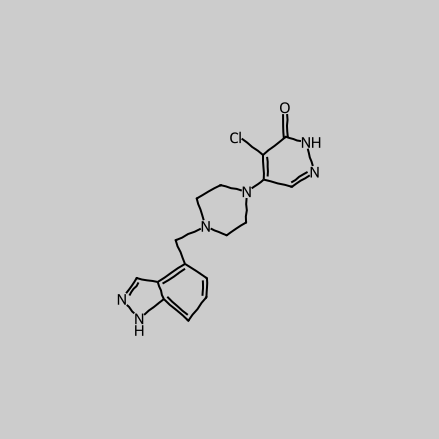 O=c1[nH]ncc(N2CCN(Cc3cccc4[nH]ncc34)CC2)c1Cl